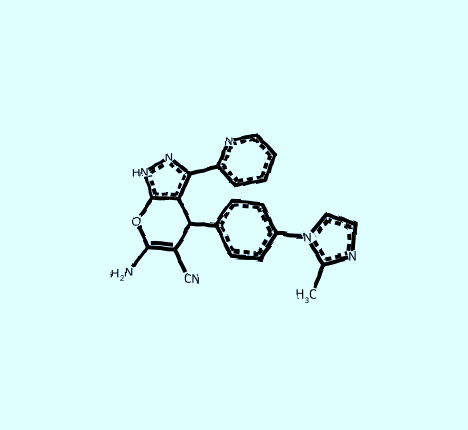 Cc1nccn1-c1ccc(C2C(C#N)=C(N)Oc3[nH]nc(-c4ccccn4)c32)cc1